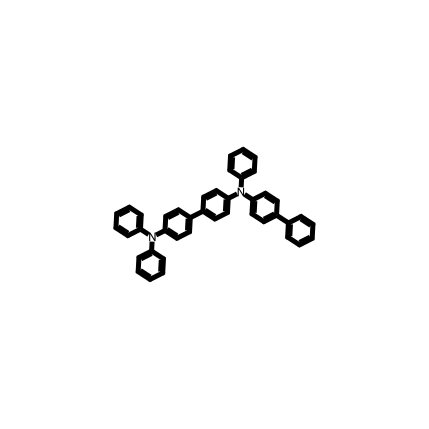 c1ccc(-c2ccc(N(c3ccccc3)c3ccc(-c4ccc(N(c5ccccc5)c5ccccc5)cc4)cc3)cc2)cc1